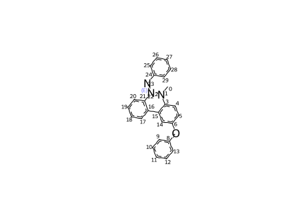 CN(C)c1ccc(Oc2ccccc2)cc1-c1ccccc1/N=N/c1ccccc1